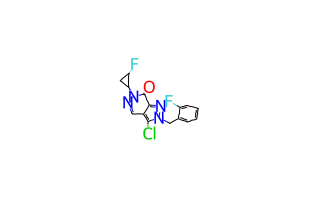 O=c1c2nn(Cc3ccccc3F)c(Cl)c2cnn1[C@H]1C[C@@H]1F